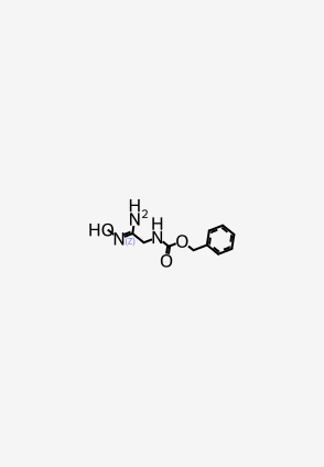 N/C(CNC(=O)OCc1ccccc1)=N\O